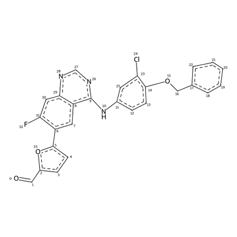 O=Cc1ccc(-c2cc3c(Nc4ccc(OCc5ccccc5)c(Cl)c4)ncnc3cc2F)o1